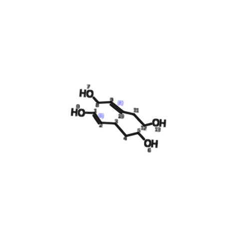 O/C=C/CCCO.OC/C=C/CCO